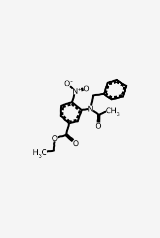 CCOC(=O)c1ccc([N+](=O)[O-])c(N(Cc2ccccc2)C(C)=O)c1